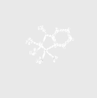 CC(C)C1(N)c2ccccc2CC1(C)C.Cl